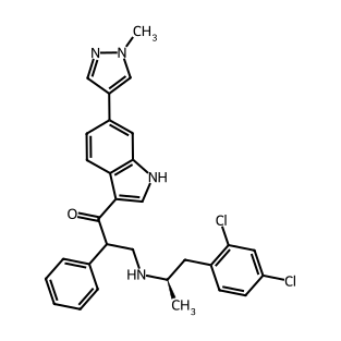 C[C@H](Cc1ccc(Cl)cc1Cl)NCC(C(=O)c1c[nH]c2cc(-c3cnn(C)c3)ccc12)c1ccccc1